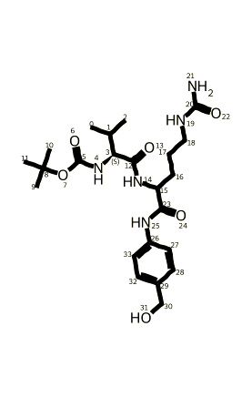 CC(C)[C@H](NC(=O)OC(C)(C)C)C(=O)NC(CCCNC(N)=O)C(=O)Nc1ccc(CO)cc1